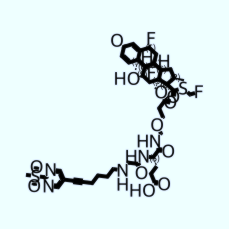 C[C@@H]1C[C@H]2[C@@H]3C[C@H](F)C4=CC(=O)C=C[C@]4(C)[C@@]3(F)[C@@H](O)C[C@]2(C)[C@@]1(OC(=O)CCOCNC(=O)[C@H](CCC(=O)O)NC(=O)CNCCCCC#Cc1cnc(S(C)(=O)=O)nc1)C(=O)SCF